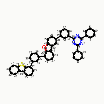 c1ccc(-c2nc(-c3ccccc3)nc(-c3cccc(-c4ccc5oc6c(-c7cccc(-c8cccc9c8sc8ccccc89)c7)cccc6c5c4)c3)n2)cc1